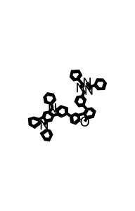 c1ccc(-c2nc(-c3ccccc3)nc(-c3cccc(-c4cccc5oc6ccc(-c7ccc8c(c7)c7cc9c(cc7n8-c7ccccc7)c7ccccc7n9-c7ccccc7)cc6c45)c3)n2)cc1